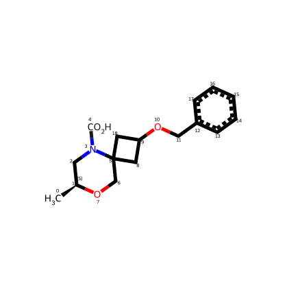 C[C@H]1CN(C(=O)O)C2(CO1)CC(OCc1ccccc1)C2